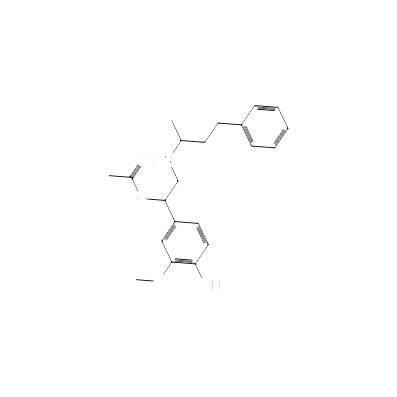 CSc1cc(C(CNC(C)CCc2ccccc2)OC(C)=O)ccc1O